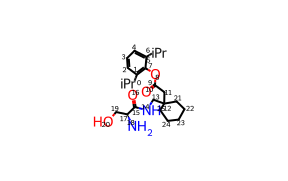 CC(C)c1cccc(C(C)C)c1OC(=O)CC1(CNC(=O)[C@@H](N)CO)CCCCC1